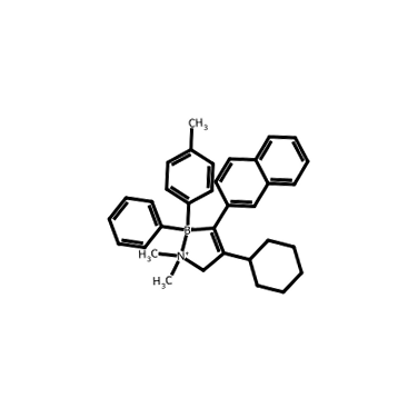 Cc1ccc([B-]2(c3ccccc3)C(c3ccc4ccccc4c3)=C(C3CCCCC3)C[N+]2(C)C)cc1